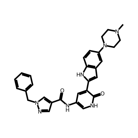 CN1CCN(c2ccc3[nH]c(-c4cc(NC(=O)c5cnn(Cc6ccccc6)c5)c[nH]c4=O)cc3c2)CC1